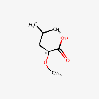 CO[C@@H](CC(C)C)C(=O)O